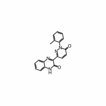 Cc1ccccc1-n1nc(-c2nc3ccccc3[nH]c2=O)ccc1=O